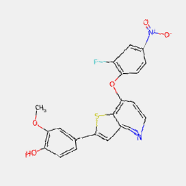 COc1cc(-c2cc3nccc(Oc4ccc([N+](=O)[O-])cc4F)c3s2)ccc1O